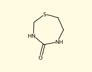 O=C1NCCSCN1